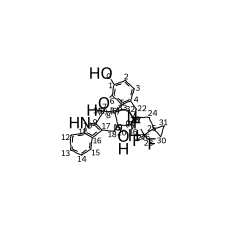 Oc1ccc2c3c1O[C@H]1c4[nH]c5ccccc5c4C[C@@]4(O)[C@@H](C2)N(CC2(C(F)(F)F)CC2)CC[C@]314